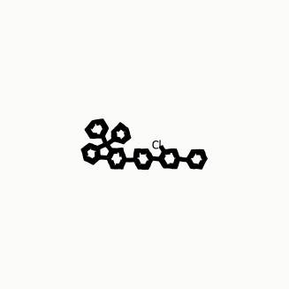 Clc1cc(-c2ccccc2)ccc1-c1ccc(-c2ccc3c(c2)C(c2ccccc2)(c2ccccc2)c2ccccc2-3)cc1